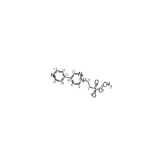 COS(=O)(=O)CC[n+]1ccc(-c2ccncc2)cn1